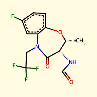 C[C@H]1Oc2ccc(F)cc2N(CC(F)(F)F)C(=O)[C@H]1NC=O